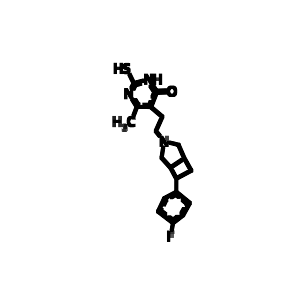 Cc1nc(S)[nH]c(=O)c1CCN1CC2CC(c3ccc(F)cc3)C2C1